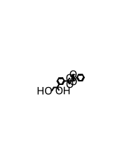 O=C(OS(=O)(=O)c1ccccc1)c1cccc(C(O)CCO)c1